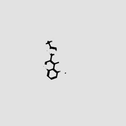 COc1cccc2n[c]c(-c3nc(C(F)(F)F)cs3)c(C)c12